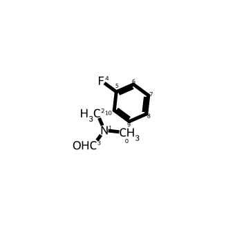 CN(C)C=O.Fc1ccccc1